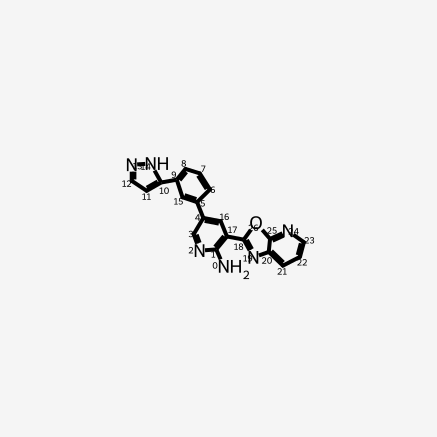 Nc1ncc(-c2cccc(-c3ccn[nH]3)c2)cc1-c1nc2cccnc2o1